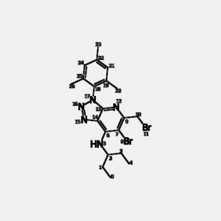 CCC(CC)Nc1c(Br)c(CBr)nc2c1nnn2-c1c(C)cc(C)cc1C